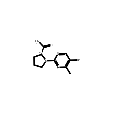 Cc1nc(N2CCC[C@H]2C(N)=O)ncc1Br